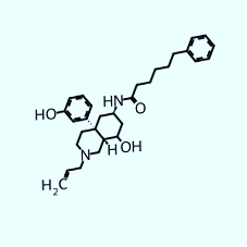 C=CCN1CC[C@@]2(c3cccc(O)c3)C[C@@H](NC(=O)CCCCCc3ccccc3)CC(O)[C@@H]2C1